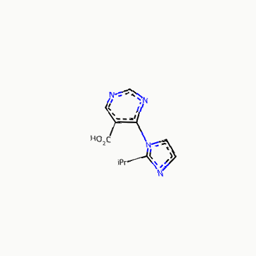 CC(C)c1nccn1-c1ncncc1C(=O)O